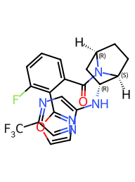 O=C(c1cccc(F)c1-c1ncco1)N1[C@@H]2CC[C@H]1[C@H](Nc1cnc(C(F)(F)F)cn1)C2